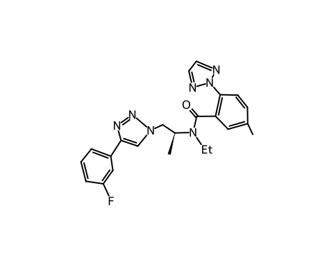 CCN(C(=O)c1cc(C)ccc1-n1nccn1)[C@@H](C)Cn1cc(-c2cccc(F)c2)nn1